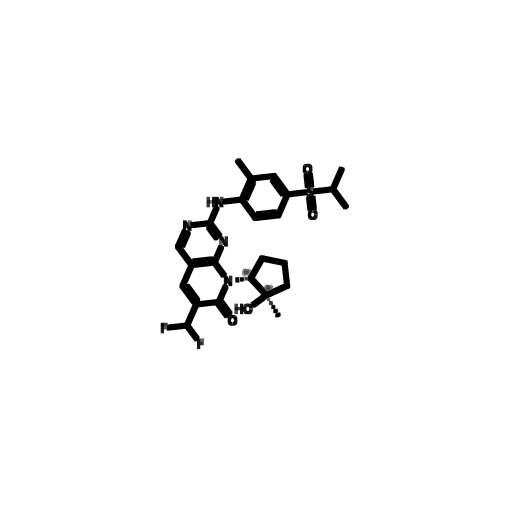 Cc1cc(S(=O)(=O)C(C)C)ccc1Nc1ncc2cc(C(F)F)c(=O)n([C@@H]3CCC[C@@]3(C)O)c2n1